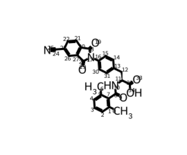 Cc1cccc(C)c1C(=O)N[C@@H](Cc1ccc(N2C(=O)c3ccc(C#N)cc3C2=O)cc1)C(=O)O